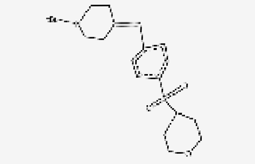 CC(C)(C)N1CCC(=Cc2ccc(S(=O)(=O)C3CCOCC3)cc2)CC1